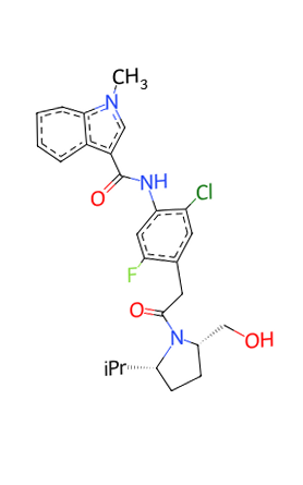 CC(C)[C@H]1CC[C@@H](CO)N1C(=O)Cc1cc(Cl)c(NC(=O)c2cn(C)c3ccccc23)cc1F